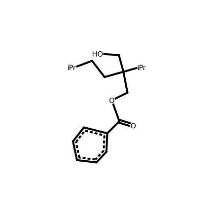 CC(C)CCC(CO)(COC(=O)c1ccccc1)C(C)C